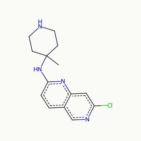 CC1(Nc2ccc3cnc(Cl)cc3n2)CCNCC1